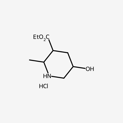 CCOC(=O)C1CC(O)CNC1C.Cl